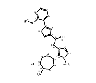 CC(C)Oc1ncccc1-c1nc(C(O)Nc2cnn(C)c2[C@@H]2CC[C@@H](N)[C@H](F)CO2)cs1